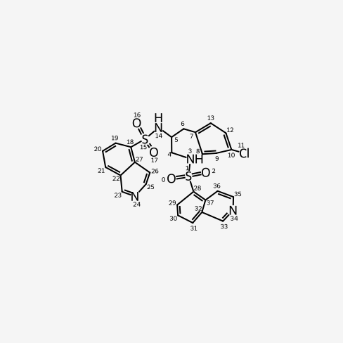 O=S(=O)(NCC(Cc1ccc(Cl)cc1)NS(=O)(=O)c1cccc2cnccc12)c1cccc2cnccc12